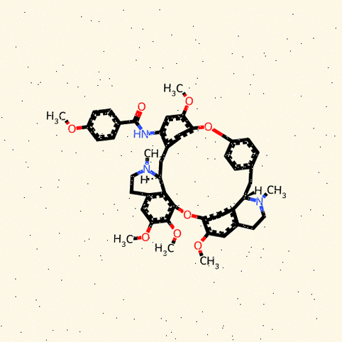 COc1ccc(C(=O)Nc2cc(OC)c3cc2C[C@H]2c4c(cc(OC)c(OC)c4Oc4cc5c(cc4OC)CCN(C)[C@H]5Cc4ccc(cc4)O3)CCN2C)cc1